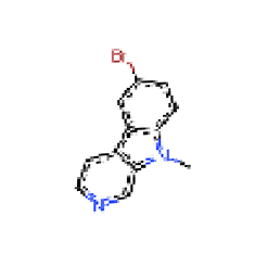 Cn1c2ccc(Br)cc2c2ccncc21